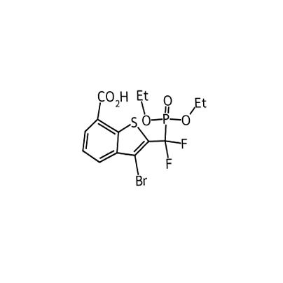 CCOP(=O)(OCC)C(F)(F)c1sc2c(C(=O)O)cccc2c1Br